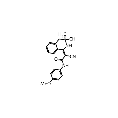 COc1ccc(NC(=O)C(C#N)=C2NC(C)(C)Cc3ccccc32)cc1